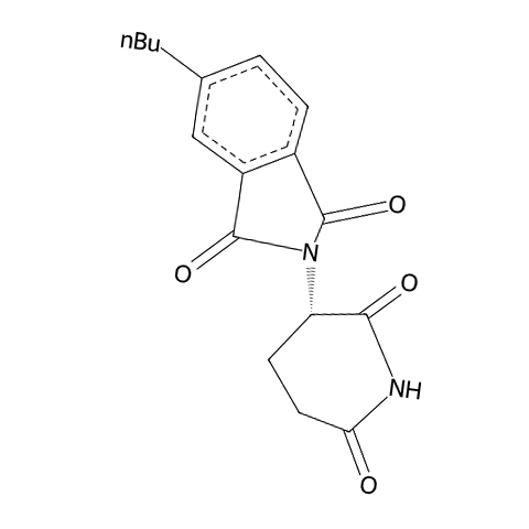 CCCCc1ccc2c(c1)C(=O)N([C@H]1CCC(=O)NC1=O)C2=O